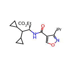 CCOC(=O)[C@@H](NC(=O)c1conc1C(C)C)C(C1CC1)C1CC1